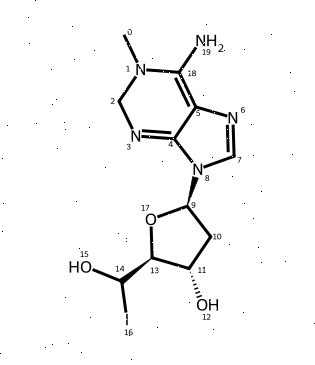 CN1CN=c2c(ncn2[C@H]2C[C@H](O)[C@@H](C(O)I)O2)=C1N